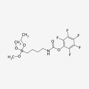 CCO[Si](CCCCNC(=O)Oc1c(F)c(F)c(F)c(F)c1F)(OC)OC